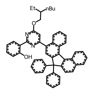 CCCCC(CC)COc1cc(-c2cc3c(c4ccccc24)-c2c(ccc4ccccc24)C3(c2ccccc2)c2ccccc2)nc(-c2ccccc2O)n1